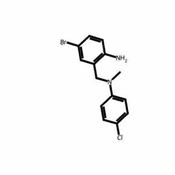 CN(Cc1cc(Br)ccc1N)c1ccc(Cl)cc1